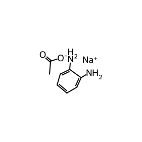 CC(=O)[O-].Nc1ccccc1N.[Na+]